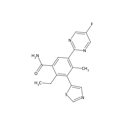 CCc1c(C(N)=O)cc(-c2ncc(F)cn2)c(C)c1-c1cncs1